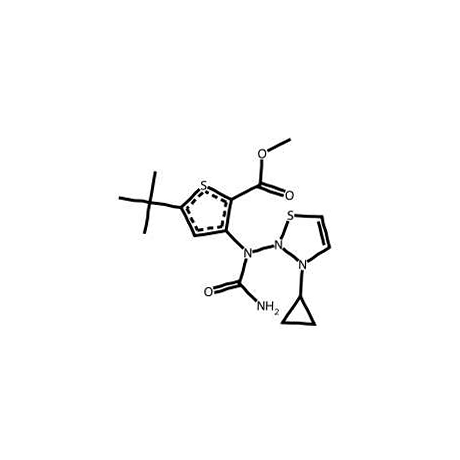 COC(=O)c1sc(C(C)(C)C)cc1N(C(N)=O)N1SC=CN1C1CC1